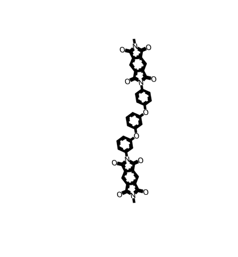 Cn1c(=O)c2cc3c(=O)n(-c4ccc(Oc5cccc(Oc6cccc(-n7c(=O)c8cc9c(=O)n(C)c(=O)c9cc8c7=O)c6)c5)cc4)c(=O)c3cc2c1=O